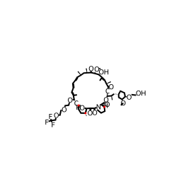 CO[C@@H]1C[C@H](C[C@@H](C)[C@@H]2CC(=O)[C@H](C)/C=C(\C)[C@@H](O)[C@@H](OC)C(=O)[C@H](C)C[C@H](C)/C=C/C=C/C=C(\C)C(OCCOCCOCC(F)(F)F)C[C@@H]3CC[C@@H](C)[C@@](C)(O3)C(=O)C(=O)N3CCCC[C@H]3C(=O)O2)CC[C@H]1OCCO